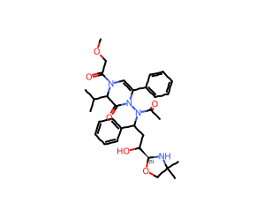 COCC(=O)N1C=C(c2ccccc2)N(N(C(C)=O)C(CC(O)[C@H]2NC(C)(C)CO2)c2ccccc2)C(=O)C1C(C)C